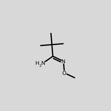 CON=C(N)C(C)(C)C